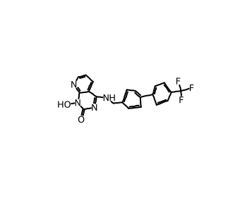 O=c1nc(NCc2ccc(-c3ccc(C(F)(F)F)cc3)cc2)c2cccnc2n1O